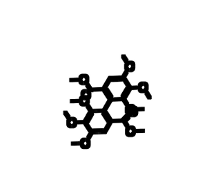 COC(=O)c1cc(OC)c(OC)c(OC)c1-c1c(C(=O)OC)cc(OC)c(OC)c1OC